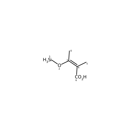 CC(O[SiH3])=C(C)C(=O)O